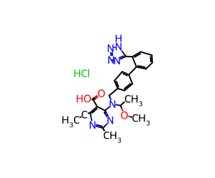 CCc1nc(C)nc(N(Cc2ccc(-c3ccccc3-c3nnn[nH]3)cc2)C(C)OC)c1C(=O)O.Cl